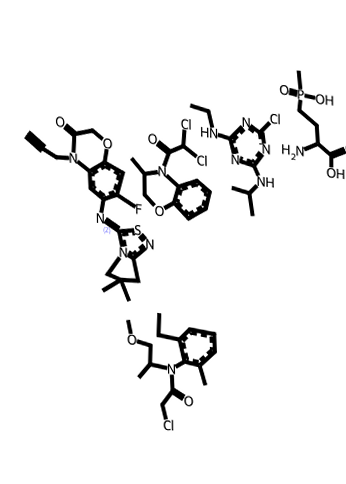 C#CCN1C(=O)COc2cc(F)c(/N=c3\snc4n3CC(C)(C)C4)cc21.CC1COc2ccccc2N1C(=O)C(Cl)Cl.CCNc1nc(Cl)nc(NC(C)C)n1.CCc1cccc(C)c1N(C(=O)CCl)C(C)COC.CP(=O)(O)CCC(N)C(=O)O